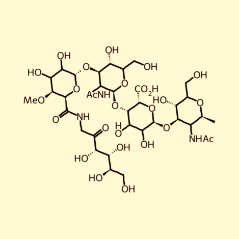 CO[C@H]1C(O)C(O)[C@H](O[C@@H]2C(NC(C)=O)[C@H](O[C@H]3C(O)C(O)[C@H](O[C@@H]4C(NC(C)=O)[C@H](C)OC(CO)[C@H]4O)O[C@H]3C(=O)O)OC(CO)[C@H]2O)O[C@H]1C(=O)NCC(=O)[C@@H](O)[C@H](O)[C@H](O)CO